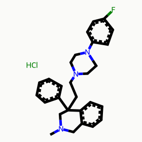 CN1Cc2ccccc2C(CCN2CCN(c3ccc(F)cc3)CC2)(c2ccccc2)C1.Cl